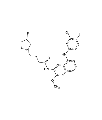 COc1cc2ccnc(Nc3ccc(F)c(Cl)c3)c2cc1NC(=O)CCCN1CC[C@H](F)C1